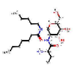 CCCCCCCCCCCCCCCC(=O)N(CCCCCCCCCCCCCC)[C@@H]1O[C@H](CO)[C@@H](O)[C@H](O)[C@H]1NC(=O)[C@@H](N)CC(C)C